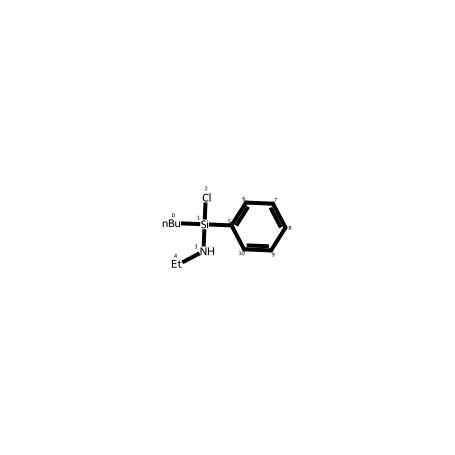 CCCC[Si](Cl)(NCC)c1ccccc1